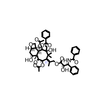 CC(=O)O[C@H]1C(=O)[C@@]2(C)[C@H]([C@H](OC(=O)c3ccccc3)[C@](O)(CI)C(C)(C)/C1=C(/C)COC(=O)[C@H](O)[C@@H](NC(=O)c1ccccc1)c1ccccc1)[C@]1(OC(C)=O)CO[C@@H]1C[C@@H]2O